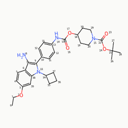 CCOc1ccc2c(N)c(-c3ccc(NC(=O)OC4CCN(C(=O)OC(C)(C)C)CC4)cc3)n(C3CCC3)c2c1